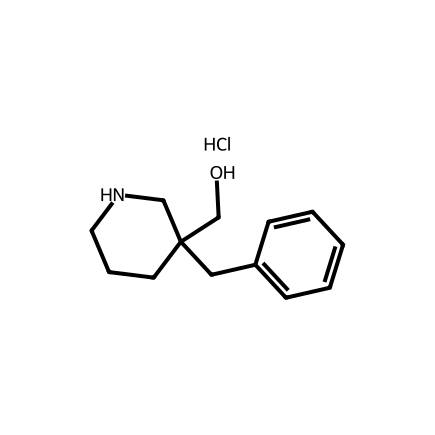 Cl.OCC1(Cc2ccccc2)CCCNC1